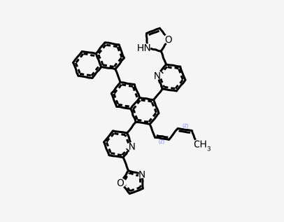 C/C=C\C=C/c1cc(-c2cccc(C3NC=CO3)n2)c2cc(-c3cccc4ccccc34)ccc2c1-c1cccc(-c2ncco2)n1